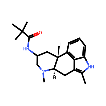 Cc1[nH]c2cccc3c2c1C[C@@H]1[C@@H]3CC(NC(=O)C(C)(C)C)CN1C